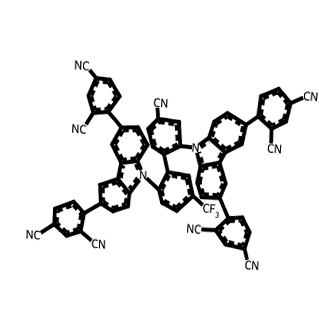 N#Cc1ccc(-c2ccc3c(c2)c2cc(-c4ccc(C#N)cc4C#N)ccc2n3-c2ccc(C(F)(F)F)cc2-c2ccc(C#N)cc2-n2c3ccc(-c4ccc(C#N)cc4C#N)cc3c3cc(-c4ccc(C#N)cc4C#N)ccc32)c(C#N)c1